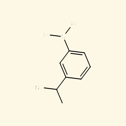 CCN(CC)c1cccc(C(C)C#N)c1